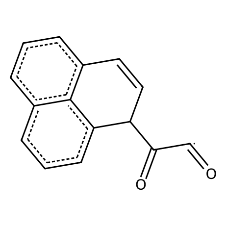 O=[C]C(=O)C1C=Cc2cccc3cccc1c23